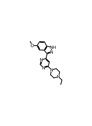 CCN1CCN(c2cc(-c3n[nH]c4ccc(OC)cc34)ncn2)CC1